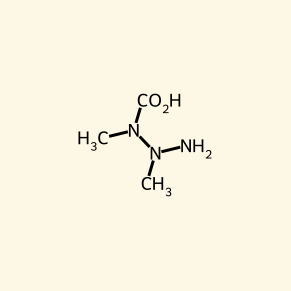 CN(N)N(C)C(=O)O